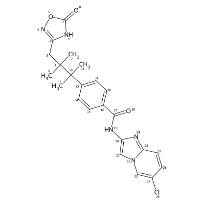 CC(C)(Cc1noc(=O)[nH]1)C(C)(C)c1ccc(C(=O)Nc2cn3cc(Cl)ccc3n2)cc1